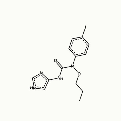 CCCON(C(=O)Nc1c[nH]cn1)c1ccc(I)cc1